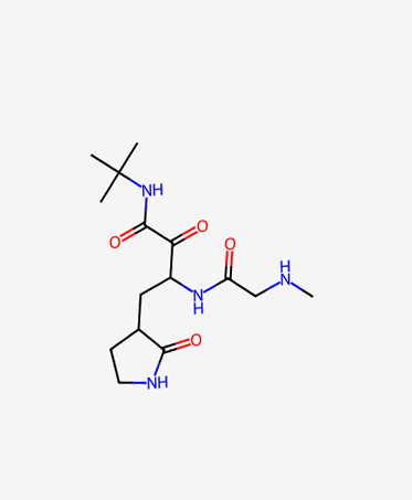 CNCC(=O)NC(CC1CCNC1=O)C(=O)C(=O)NC(C)(C)C